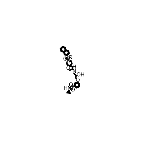 O=S(=O)(NC1CC1)c1cccc(OC[C@@H](O)CNC2COC3(CCN(S(=O)(=O)c4ccc5ccccc5c4)CC3)C2)c1